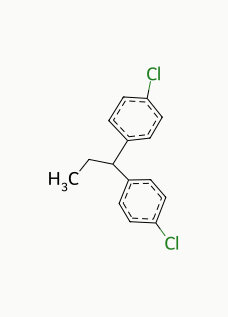 CCC(c1ccc(Cl)cc1)c1ccc(Cl)cc1